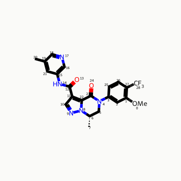 COc1cc(N2C[C@H](C)n3ncc(C(=O)Nc4cncc(C)c4)c3C2=O)ccc1C(F)(F)F